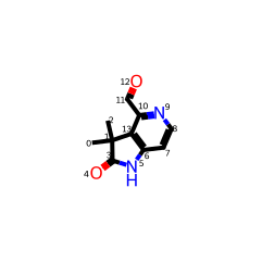 CC1(C)C(=O)Nc2ccnc(C=O)c21